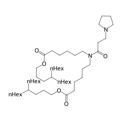 CCCCCCC(CCCCCC)CCCOC(=O)CCCCCN(CCCCCC(=O)OCCCC(CCCCCC)CCCCCC)C(=O)CCN1CCCC1